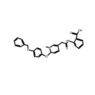 CN1C=C(CC(=O)Nc2ccccc2C(=O)O)C=CC1Oc1ccc(OCc2ccccc2)cc1